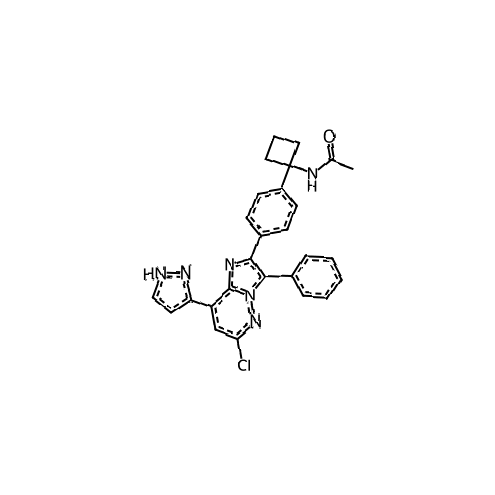 CC(=O)NC1(c2ccc(-c3nc4c(-c5cc[nH]n5)cc(Cl)nn4c3-c3ccccc3)cc2)CCC1